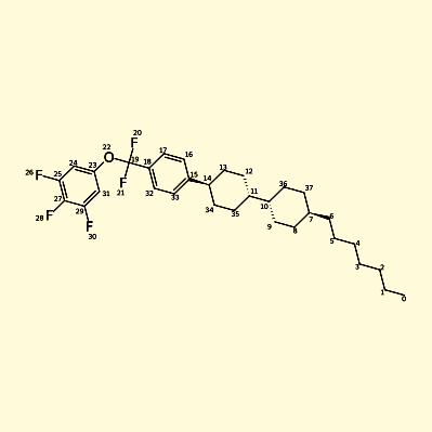 CCCCCCC[C@H]1CC[C@H]([C@H]2CC[C@H](c3ccc(C(F)(F)Oc4cc(F)c(F)c(F)c4)cc3)CC2)CC1